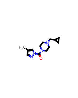 Cc1cnn(C(=O)N2CCN(CC3CC3)CC2)c1